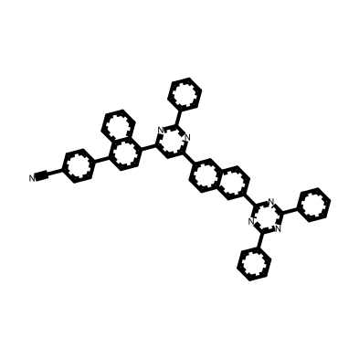 N#Cc1ccc(-c2ccc(-c3cc(-c4ccc5cc(-c6nc(-c7ccccc7)nc(-c7ccccc7)n6)ccc5c4)nc(-c4ccccc4)n3)c3ccccc23)cc1